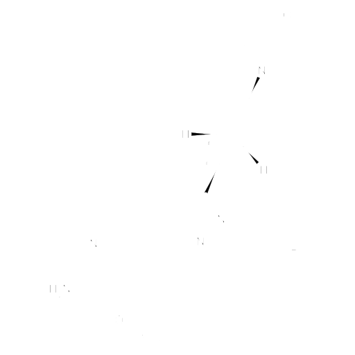 Nc1ncc(-c2cc([C@H]3[C@@H]4C[C@@H](N5CCOCC5)C[C@@H]43)n(CC(F)F)n2)cc1OC(F)(F)F